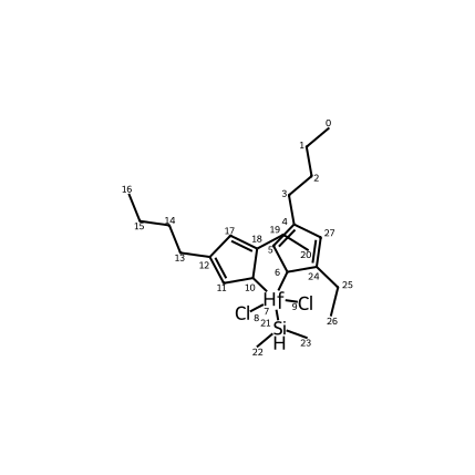 CCCCC1=C[CH]([Hf]([Cl])([Cl])([CH]2C=C(CCCC)C=C2CC)[SiH](C)C)C(CC)=C1